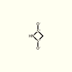 [O-][S+]1C[S+]([O-])N1